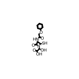 O=C(COc1ccccc1)N[C@@H]1C(=O)N([C@@H](O)C(=O)O)[C@@H]1S